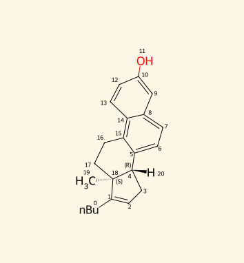 CCCCC1=CC[C@H]2c3ccc4cc(O)ccc4c3CC[C@]12C